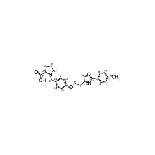 Cc1ccc(-c2nc(CCOc3ccc(CN4CCC[C@@H]4C(=O)O)cc3)co2)cc1